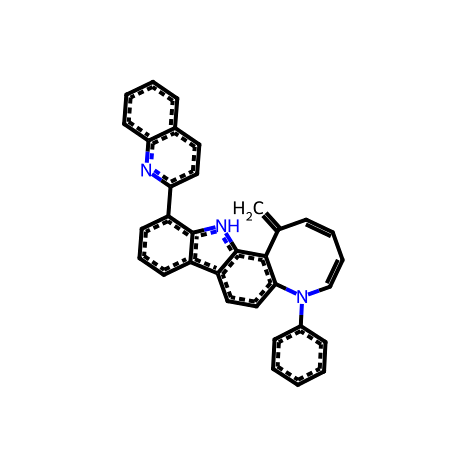 C=C1/C=C\C=C/N(c2ccccc2)c2ccc3c([nH]c4c(-c5ccc6ccccc6n5)cccc43)c21